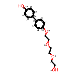 OCCOCCOCCOc1ccc(-c2ccc(O)cc2)cc1